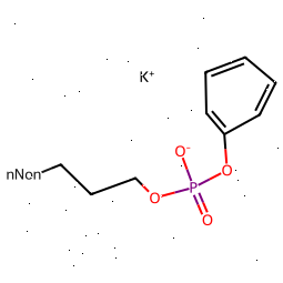 CCCCCCCCCCCCOP(=O)([O-])Oc1ccccc1.[K+]